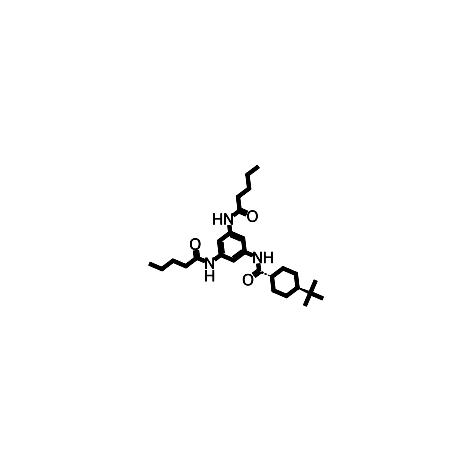 CCCCC(=O)Nc1cc(NC(=O)CCCC)cc(NC(=O)[C@H]2CC[C@H](C(C)(C)C)CC2)c1